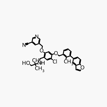 Cc1c(COc2cc(OCc3cncc(C#N)c3)c(CNC(C)(C)CO)cc2Cl)cccc1-c1ccc2occc2c1